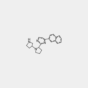 c1ccc2cc(-c3ccnc(C4CCCN4C4CCNC4)n3)ccc2c1